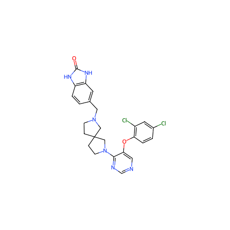 O=c1[nH]c2ccc(CN3CCC4(CCN(c5ncncc5Oc5ccc(Cl)cc5Cl)C4)C3)cc2[nH]1